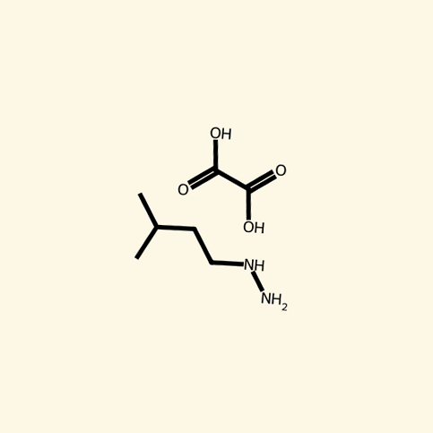 CC(C)CCNN.O=C(O)C(=O)O